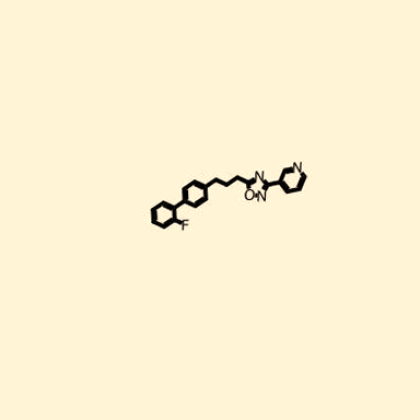 Fc1ccccc1-c1ccc(CCCc2nc(-c3cccnc3)no2)cc1